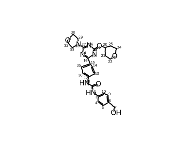 O=C(Nc1ccc(CO)cc1)Nc1ccc(-c2nc(OC3CCOCC3)nc(N3CCOCC3)n2)cc1